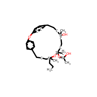 CCC[Si]1(C)CCCc2ccc(cc2)Oc2ccc(cc2)CCC[Si](C)(O)CCC[Si](C)(O[SiH](C)O)O1